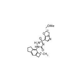 COC[C@@H]1Cn2ncc(S(N)(=O)=NC(=O)Nc3c4c(cc5c3[C@H](C)C5)CCC4)c2O1